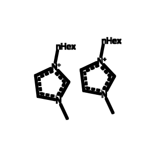 CCCCCC[n+]1ccn(C)c1.CCCCCC[n+]1ccn(C)c1